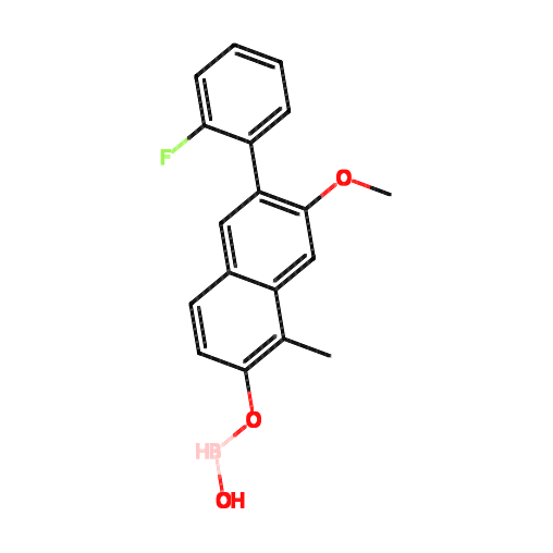 COc1cc2c(C)c(OBO)ccc2cc1-c1ccccc1F